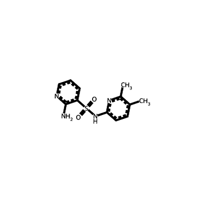 Cc1ccc(NS(=O)(=O)c2cccnc2N)nc1C